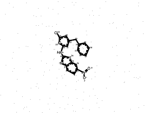 O=[N+]([O-])c1ccc2nc(Nc3cc(Cc4ccccc4)cc(Cl)n3)sc2c1